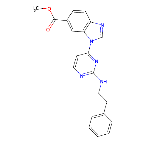 COC(=O)c1ccc2ncn(-c3ccnc(NCCc4ccccc4)n3)c2c1